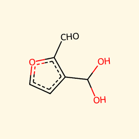 O=Cc1occc1C(O)O